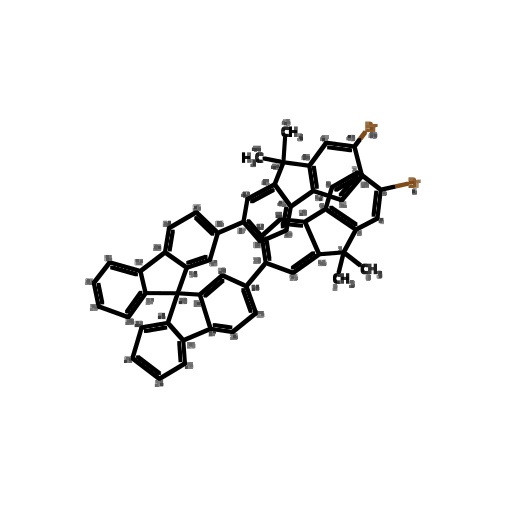 CC1(C)c2cc(Br)ccc2-c2ccc(-c3ccc4c(c3)C3(c5ccccc5-4)c4ccccc4-c4ccc(-c5ccc6c(c5)C(C)(C)c5cc(Br)ccc5-6)cc43)cc21